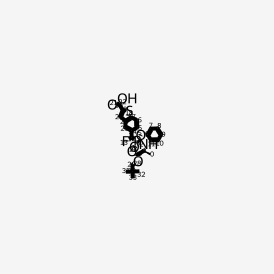 C[C@H](NP(=O)(Oc1ccccc1)C(F)c1ccc2sc(C(=O)O)cc2c1)C(=O)OCC(C)(C)C